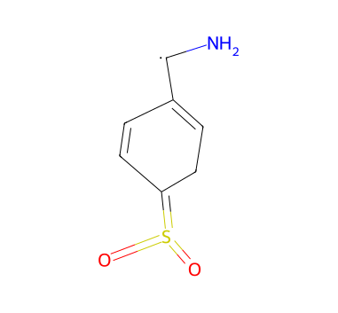 N[CH]C1=CCC(=S(=O)=O)C=C1